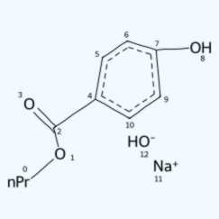 CCCOC(=O)c1ccc(O)cc1.[Na+].[OH-]